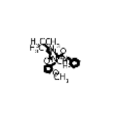 COc1ccccc1CN1C(=O)c2cc(C(C)(C)C)nn2CC1(C)C(=O)NCc1ccccc1